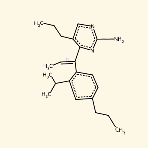 C/C=C(\c1ccc(CCC)cc1C(C)C)c1nc(N)ncc1CCC